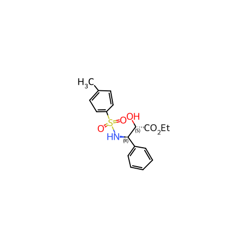 CCOC(=O)[C@@H](O)[C@H](NS(=O)(=O)c1ccc(C)cc1)c1ccccc1